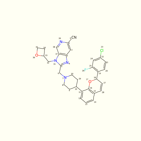 N#Cc1cc2nc(CN3CCC(c4cccc5c4OC(c4ccc(Cl)cc4F)C=C5)CC3)n(CC3CCO3)c2cn1